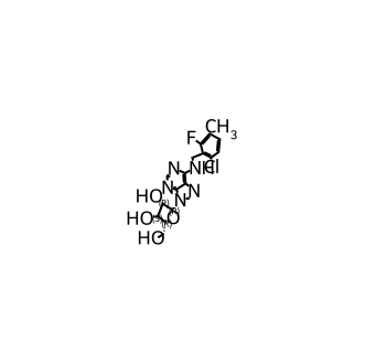 Cc1ccc(Cl)c(CNc2ncnc3c2ncn3[C@@H]2O[C@H](CO)[C@@H](O)[C@H]2O)c1F